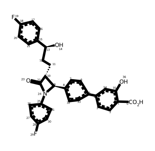 O=C(O)c1ccc(-c2ccc([C@@H]3[C@@H](CC[C@H](O)c4ccc(F)cc4)C(=O)N3c3ccc(F)cc3)cc2)cc1O